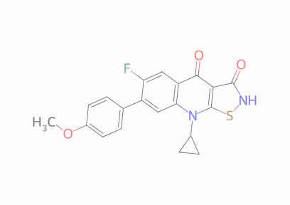 COc1ccc(-c2cc3c(cc2F)c(=O)c2c(=O)[nH]sc2n3C2CC2)cc1